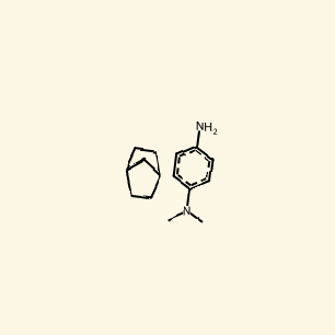 C1CC2CCC1C2.CN(C)c1ccc(N)cc1